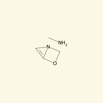 C1=C2OCN12.CN